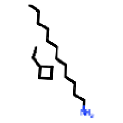 CCC1CCC1.CCCCCCCCCCCCN